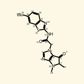 CC1C(=O)c2c(ncn2CC(=O)Nc2nc3ccc(C(C)(C)C)cc3s2)N1C